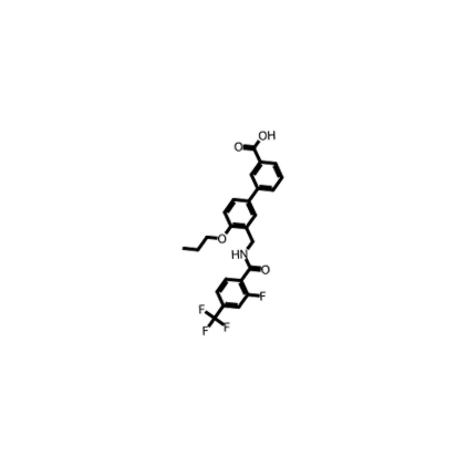 CCCOc1ccc(-c2cccc(C(=O)O)c2)cc1CNC(=O)c1ccc(C(F)(F)F)cc1F